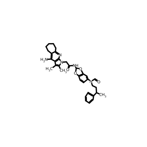 Cc1c(C)n(CC(=O)NC2Oc3ccc(N(C=O)CCC(C)c4ccccc4)cc3O2)c2nc3c(c(N)c12)CCCCC3